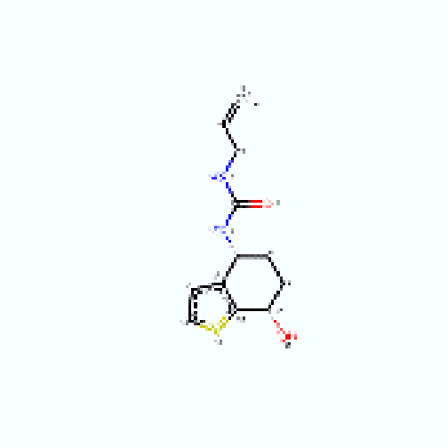 C=CCNC(=O)N[C@@H]1CC[C@H](O)c2sccc21